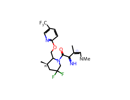 CN/C=C(/C)C(=N)C(=O)N1CC(F)(F)C[C@@H](C)C1COc1ccc(C(F)(F)F)cn1